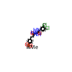 CNS(=O)(=O)c1ccc(CCC(=O)NNC(=O)Nc2ccc(Cl)c(Cl)c2)cc1